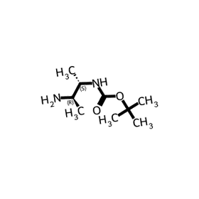 C[C@H](NC(=O)OC(C)(C)C)[C@@H](C)N